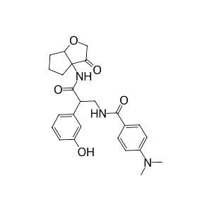 CN(C)c1ccc(C(=O)NCC(C(=O)NC23CCCC2OCC3=O)c2cccc(O)c2)cc1